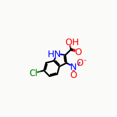 O=C(O)c1[nH]c2cc(Cl)ccc2c1[N+](=O)[O-]